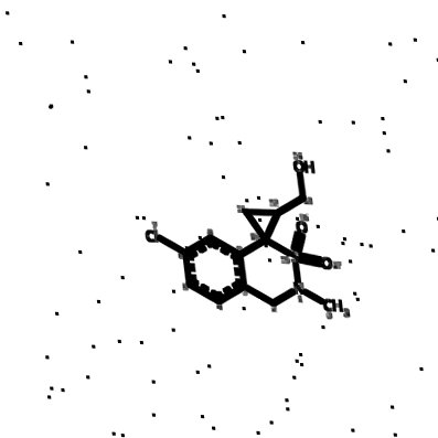 CN1Cc2ccc(Cl)cc2C2(CC2CO)S1(=O)=O